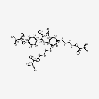 C=C(C)C(=O)OCCCCc1cc(CCCCOC(=O)C(=C)C)c(/C=C(\C=O)c2ccc(OC(=O)C(=C)C)cc2)c(OC)c1